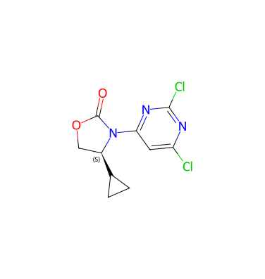 O=C1OC[C@H](C2CC2)N1c1cc(Cl)nc(Cl)n1